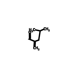 C=C([C]=O)CC(C)C